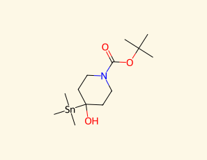 CC(C)(C)OC(=O)N1CC[C](O)([Sn]([CH3])([CH3])[CH3])CC1